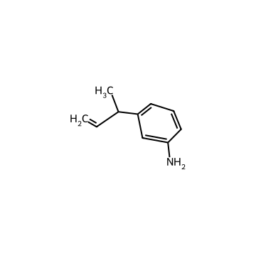 C=CC(C)c1cccc(N)c1